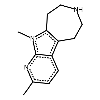 Cc1ccc2c3c(n(C)c2n1)CCNCC3